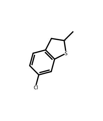 C[C]1Cc2ccc(Cl)cc2S1